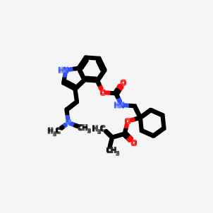 CC(C)C(=O)OC1(CNC(=O)Oc2cccc3[nH]cc(CCN(C)C)c23)CCCCC1